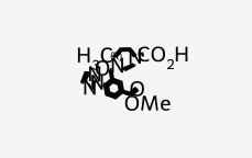 COC(=O)c1ccc(-n2nccn2)c(C(=O)N2CCN(C(=O)O)CC[C@H]2C)c1